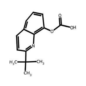 CC(C)(C)c1ccc2cccc(OC(=O)O)c2n1